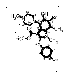 COC(=O)c1c(Sc2ccc(F)cc2)n(C)c2c(C)c(Br)c(O)c(N3CCN(C)CC3)c12